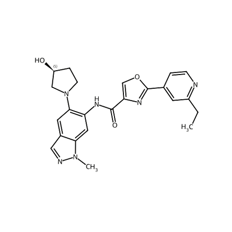 CCc1cc(-c2nc(C(=O)Nc3cc4c(cnn4C)cc3N3CC[C@H](O)C3)co2)ccn1